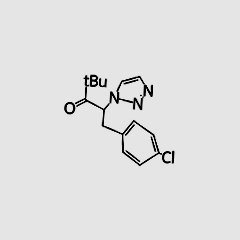 CC(C)(C)C(=O)C(Cc1ccc(Cl)cc1)n1ccnn1